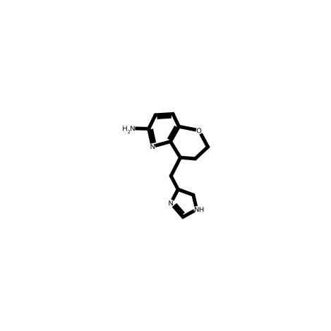 Nc1ccc2c(n1)C(CC1CNC=N1)CCO2